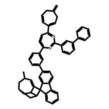 C=C1CC=CC(C2=NC(c3cccc(-c4ccccc4)c3)=NC(c3cccc(-c4ccc5c(c4)C4(C6=CC(C)CC7CC6C4C7)c4ccccc4-5)c3)=C=C2)=CC1